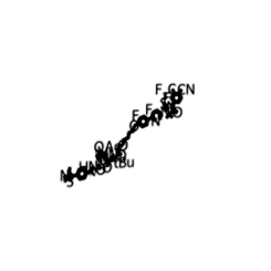 CC(=O)O[C@@H]1C[C@@H](C(=O)N[C@@H](C)c2ccc(-c3scnc3C)cc2)N(C(=O)[C@@H](NC(=O)COCCCCOc2ccc(-c3ncc(N4C(=S)N(c5ccc(C#N)c(C(F)(F)F)c5F)C(=O)C4(C)C)cc3F)cc2F)C(C)(C)C)C1